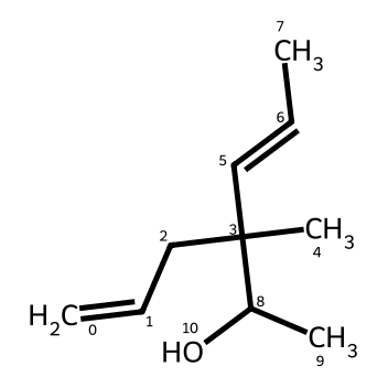 C=CCC(C)(/C=C/C)C(C)O